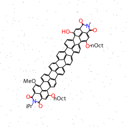 CCCCCCCCOc1cc2c3c(cc(O)c4c5ccc6c7ccc8c9ccc%10c%11ccc%12c%13c(OC)cc%14c%15c(cc(OCCCCCCCC)c(c%16ccc(c%17ccc(c%18ccc(c%19ccc(c1c34)c5c6%19)c7c8%18)c9c%10%17)c%11c%12%16)c%15%13)C(=O)N(C(C)C)C%14=O)C(=O)N(C)C2=O